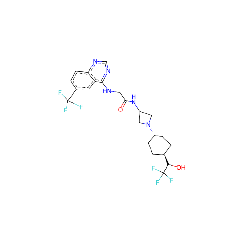 O=C(CNc1ncnc2ccc(C(F)(F)F)cc12)NC1CN([C@H]2CC[C@H](C(O)C(F)(F)F)CC2)C1